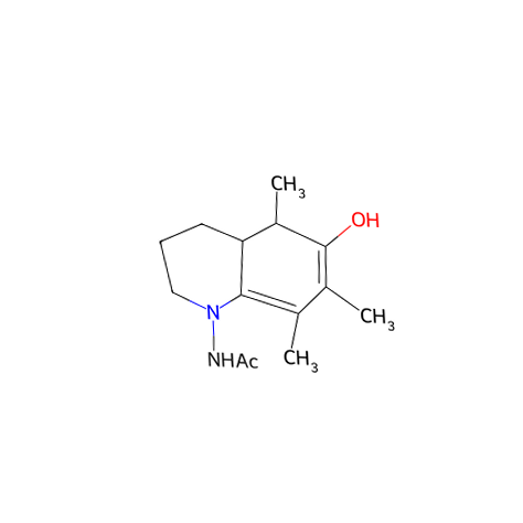 CC(=O)NN1CCCC2C1=C(C)C(C)=C(O)C2C